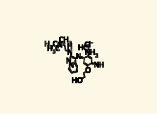 C[N+](C)(C)CCNc1nn2ccccc2c1N=C1C=C(OCCO)C(=N)C=C1N.Cl.[Cl-]